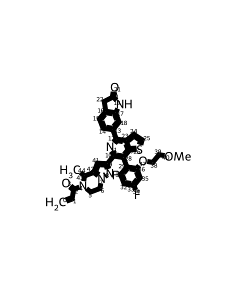 C=CC(=O)N1CCn2nc(-c3nc(-c4ccc5c(c4)NC(=O)C5)c4ccsc4c3-c3c(F)cc(F)cc3OCCOC)cc2C1C